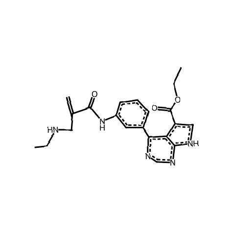 C=C(CNCC)C(=O)Nc1cccc(-c2ncnc3[nH]cc(C(=O)OCC)c23)c1